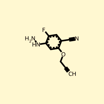 C#CCOc1cc(NN)c(F)cc1C#N